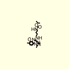 COc1c(C)ccc2c1nc(NCCCCNC(=O)OC(C)C)c1nnc(C)n12